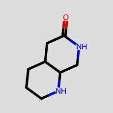 O=C1CC2CCCNC2CN1